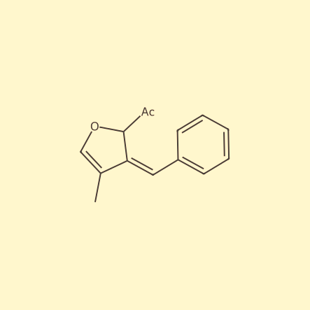 CC(=O)C1OC=C(C)C1=Cc1ccccc1